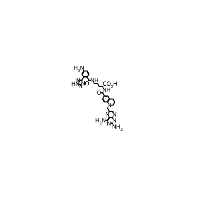 Nc1ccc(C(=O)NCCC[C@H](NC(=O)c2ccc3c(c2)CCCN3Cc2cnc3nc(N)nc(N)c3n2)C(=O)O)c(-c2nn[nH]n2)c1